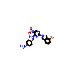 Cc1c(Br)cccc1CNc1ncc([N+](=O)[O-])c(NC[C@H]2CC[C@H](N)CC2)n1